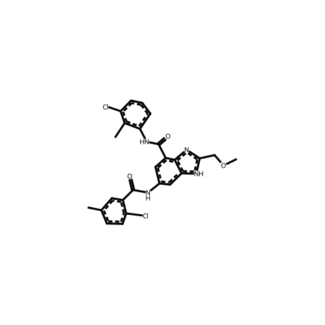 COCc1nc2c(C(=O)Nc3cccc(Cl)c3C)cc(NC(=O)c3cc(C)ccc3Cl)cc2[nH]1